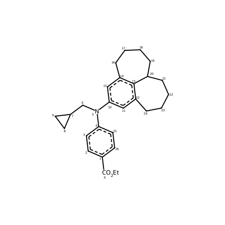 CCOC(=O)c1ccc(N(CC2CC2)c2cc3c4c(c2)CCCCC4CCCC3)cc1